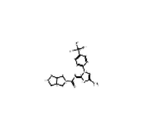 Cc1cn(-c2ccc(C(F)(F)F)cc2)c(=NC(=O)N2CC3CNCC3C2)s1